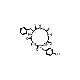 O=C1CNC(=O)[C@H](Cc2ccccc2)NC(=O)CNC(=O)[C@@H](Cc2ccc(O)cc2)NC(=O)CN1